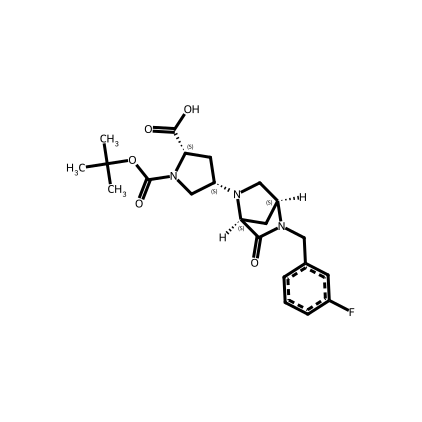 CC(C)(C)OC(=O)N1C[C@@H](N2C[C@@H]3C[C@H]2C(=O)N3Cc2cccc(F)c2)C[C@H]1C(=O)O